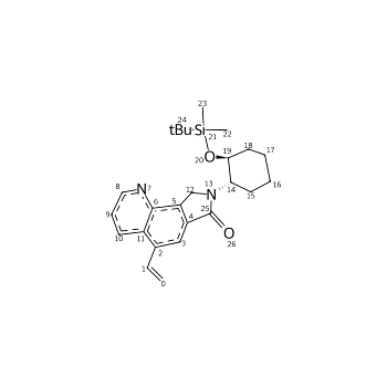 C=Cc1cc2c(c3ncccc13)CN([C@H]1CCCC[C@@H]1O[Si](C)(C)C(C)(C)C)C2=O